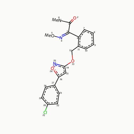 CNC(=O)C(=NOC)c1ccccc1COc1cc(-c2ccc(Cl)cc2)on1